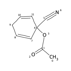 CC(=O)OC1(C#N)C=CCC=C1